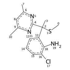 CSC(C)(c1nc(C)cc(C)n1)c1cccc(Cl)c1N